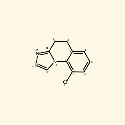 Clc1cccc2c1-n1cnnc1CC2